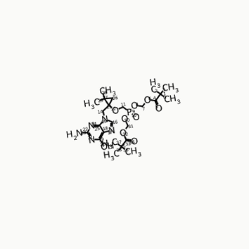 CC(C)(C)C(=O)OCOP(=O)(COC1(Cn2cnc3c(O)nc(N)nc32)CC1(C)C)OCOC(=O)C(C)(C)C